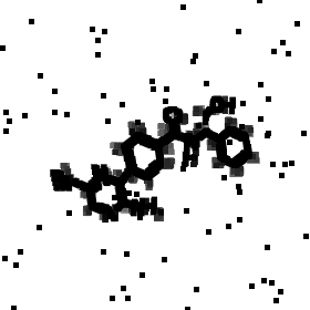 Nc1ncc(Br)nc1-c1ccc(C(=O)N[C@H](CO)c2ccccc2)cc1